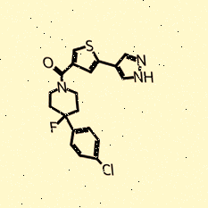 O=C(c1csc(-c2cn[nH]c2)c1)N1CCC(F)(c2ccc(Cl)cc2)CC1